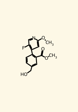 COC(=O)c1cc(CO)ccc1-c1cc(OC)ncc1F